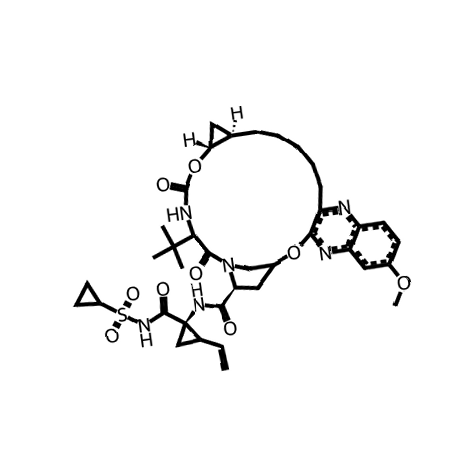 C=CC1C[C@]1(NC(=O)[C@@H]1CC2CN1C(=O)C(C(C)(C)C)NC(=O)O[C@@H]1C[C@H]1CCCCCc1nc3ccc(OC)cc3nc1O2)C(=O)NS(=O)(=O)C1CC1